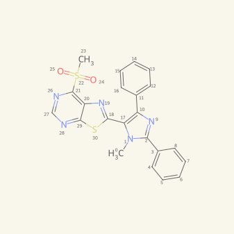 Cn1c(-c2ccccc2)nc(-c2ccccc2)c1-c1nc2c(S(C)(=O)=O)ncnc2s1